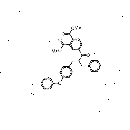 COC(=O)c1ccc(C(=O)C(Cc2ccccc2)Cc2ccc(Oc3ccccc3)cc2)cc1C(=O)OC